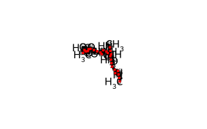 CCCSc1ncc(C#CCCCC(=O)NCC(=O)NC(CCCNC)C(=O)Nc2ccc(CNC(=O)CNC(=O)C(C)C(OC)C3CCCN3C=O)cc2)cn1